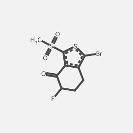 CS(=O)(=O)c1sc(Br)c2c1C(=O)C(F)CC2